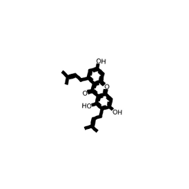 CC(C)=CCc1c(O)cc2oc3cc(O)cc(CC=C(C)C)c3c(=O)c2c1O